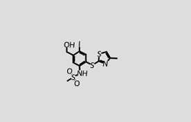 Cc1csc(Sc2cc(I)c(CO)cc2NS(C)(=O)=O)n1